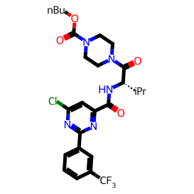 CCCCOC(=O)N1CCN(C(=O)[C@@H](NC(=O)c2cc(Cl)nc(-c3cccc(C(F)(F)F)c3)n2)C(C)C)CC1